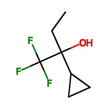 CCC(O)(C1CC1)C(F)(F)F